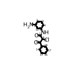 Nc1cccc(NC(=O)C(Cl)C(=O)c2ccccc2)c1